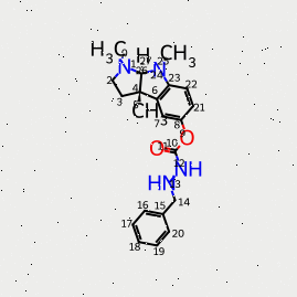 CN1CC[C@@]2(C)c3cc(OC(=O)NNCc4ccccc4)ccc3N(C)[C@H]12